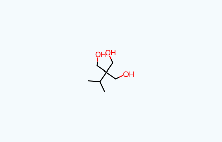 CC(C)C(CO)(CO)CO